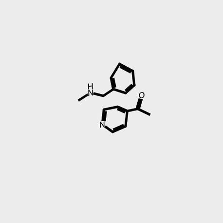 CC(=O)c1ccncc1.CNCc1ccccc1